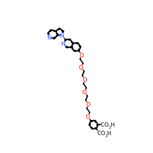 O=C(O)c1ccc(OCCOCCOCCOCCOCCOc2ccc3cc(-n4ccc5ccncc54)ncc3c2)cc1C(=O)O